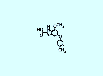 COc1cc(Oc2ccc(C)nc2)cc2cc(C(=O)O)[nH]c12